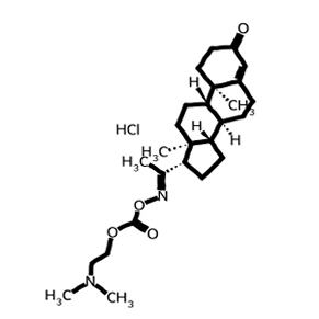 C/C(=N\OC(=O)OCCN(C)C)[C@H]1CC[C@H]2[C@@H]3CCC4=CC(=O)CC[C@]4(C)[C@H]3CC[C@]12C.Cl